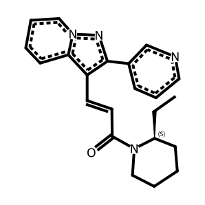 CC[C@H]1CCCCN1C(=O)C=Cc1c(-c2cccnc2)nn2ccccc12